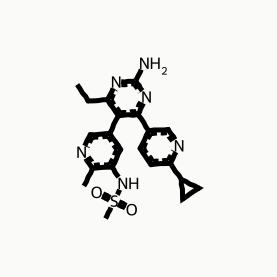 CCc1nc(N)nc(-c2ccc(C3CC3)nc2)c1-c1cnc(C)c(NS(C)(=O)=O)c1